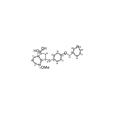 COc1cccc2c1C(Sc1ccc(OCc3cccnc3)cc1)CS2(O)O